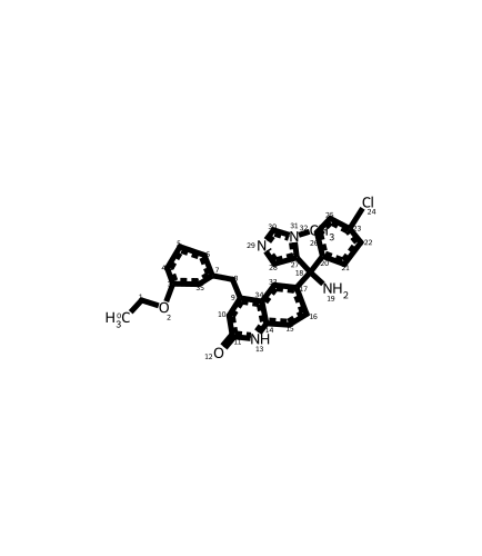 CCOc1cccc(Cc2cc(=O)[nH]c3ccc(C(N)(c4ccc(Cl)cc4)c4cncn4C)cc23)c1